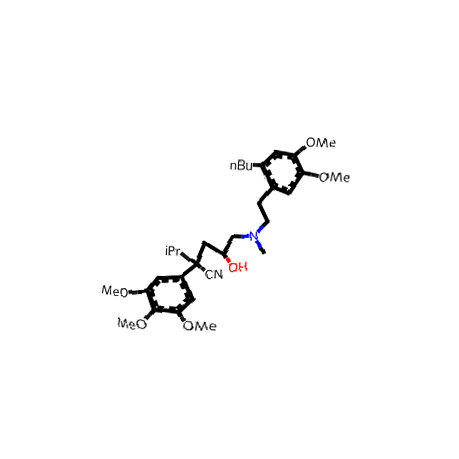 CCCCc1cc(OC)c(OC)cc1CCN(C)CC(O)CC(C#N)(c1cc(OC)c(OC)c(OC)c1)C(C)C